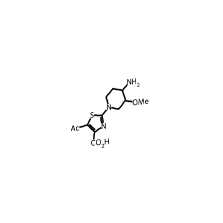 COC1CN(c2nc(C(=O)O)c(C(C)=O)s2)CCC1N